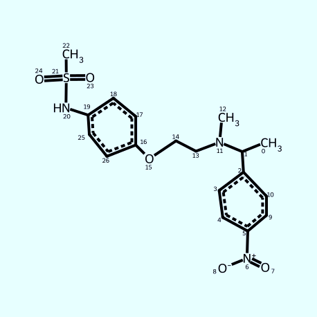 CC(c1ccc([N+](=O)[O-])cc1)N(C)CCOc1ccc(NS(C)(=O)=O)cc1